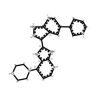 c1cncc(-c2cnc3[nH]nc(-c4nc5c(N6CCOCC6)ccnc5[nH]4)c3c2)c1